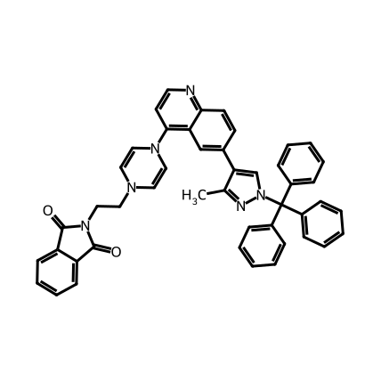 Cc1nn(C(c2ccccc2)(c2ccccc2)c2ccccc2)cc1-c1ccc2nccc(N3C=CN(CCN4C(=O)c5ccccc5C4=O)C=C3)c2c1